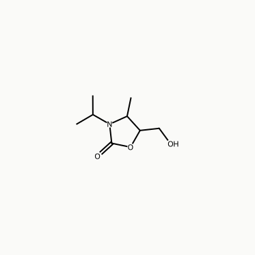 CC(C)N1C(=O)OC(CO)C1C